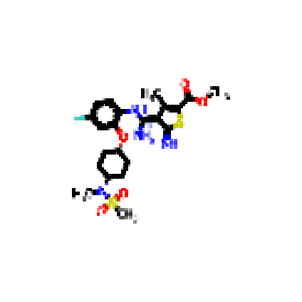 COC(=O)C1=C(C)/C(=C(/N)Nc2ccc(F)cc2O[C@H]2CC[C@@H](N(C)S(C)(=O)=O)CC2)C(=N)S1